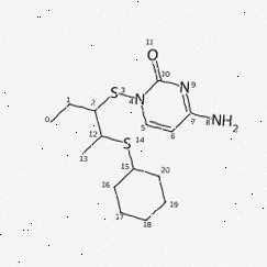 CCC(Sn1ccc(N)nc1=O)C(C)SC1CCCCC1